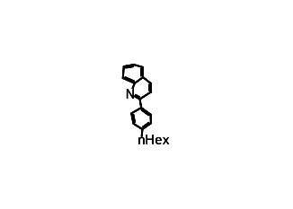 CCCCCCc1ccc(-c2ccc3ccccc3n2)cc1